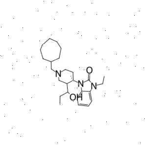 CCC(O)C1CN(CC2CCCCCCC2)CCC1n1c(=O)n(CC)c2ccccc21